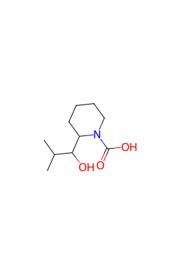 CC(C)C(O)C1CCCCN1C(=O)O